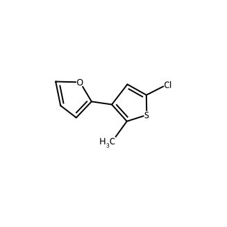 Cc1sc(Cl)cc1-c1ccco1